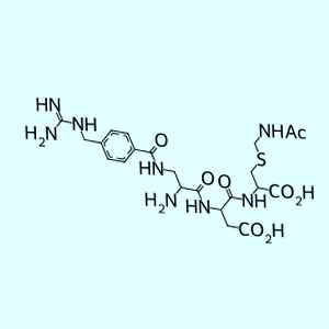 CC(=O)NCSCC(NC(=O)C(CC(=O)O)NC(=O)C(N)CNC(=O)c1ccc(CNC(=N)N)cc1)C(=O)O